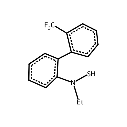 CCN(S)c1ccccc1-c1ccccc1C(F)(F)F